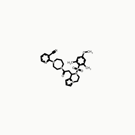 COc1cc(C)c(S(=O)(=O)N2CCn3cccc3C2CC(=O)N2CCCN(c3ncccc3C#N)CC2)c(C)c1